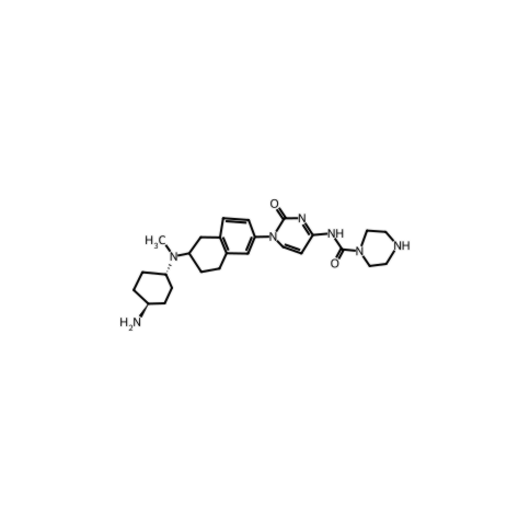 CN(C1CCc2cc(-n3ccc(NC(=O)N4CCNCC4)nc3=O)ccc2C1)[C@H]1CC[C@H](N)CC1